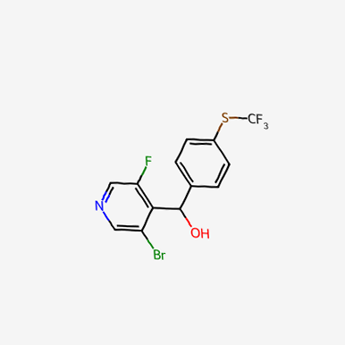 OC(c1ccc(SC(F)(F)F)cc1)c1c(F)cncc1Br